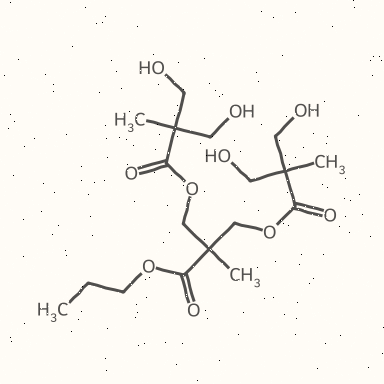 CCCOC(=O)C(C)(COC(=O)C(C)(CO)CO)COC(=O)C(C)(CO)CO